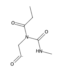 CCC(=O)N(C[C]=O)C(=O)NC